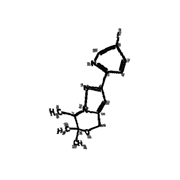 CC1n2nc(-c3ccc(F)cn3)cc2COC1(C)C